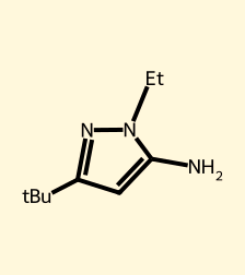 CCn1nc(C(C)(C)C)cc1N